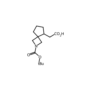 CC(C)(C)OC(=O)N1CC2(CCCC2CC(=O)O)C1